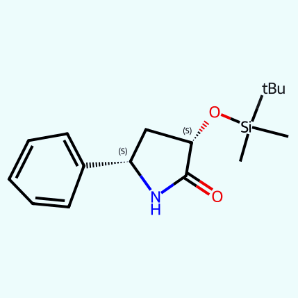 CC(C)(C)[Si](C)(C)O[C@H]1C[C@@H](c2ccccc2)NC1=O